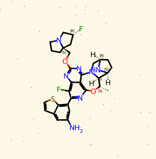 C[C@@H]1Oc2nc(-c3cc(N)cc4ccsc34)c(F)c3nc(OC[C@@]45CCCN4C[C@H](F)C5)nc(c23)N2C[C@H]3CC[C@H](N3)[C@@H]12